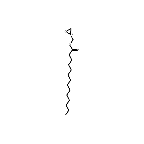 CCCCCCCCCCCCCC(=O)OC[C@@H]1CO1